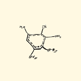 Bc1cc(B)c(C#N)c(B)c1B